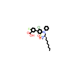 CCCCCCCC[C@@H]1CN(c2ccccc2)c2cc(Cl)c(-c3ccc(F)c(C(=O)O)c3)cc2S(=O)(=O)N1C